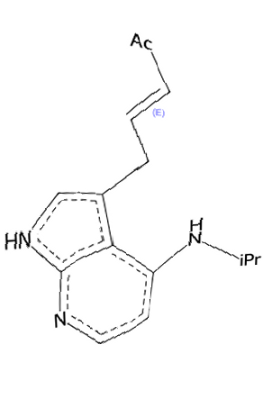 CC(=O)/C=C/Cc1c[nH]c2nccc(NC(C)C)c12